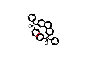 O=P(c1ccccc1)(c1ccccc1)c1ccc2ccc3ccc(P(=O)(c4ccccc4)c4ccccc4)cc3c2c1